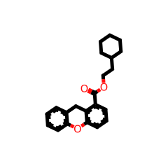 O=C(OCCC1CCCCC1)c1cccc2c1Cc1ccccc1O2